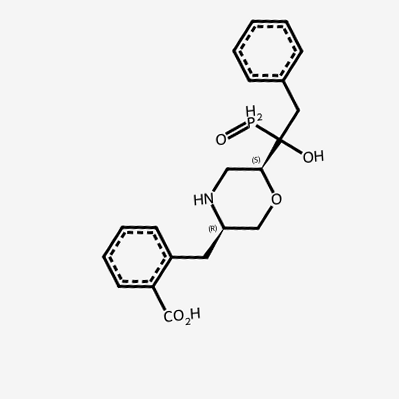 O=[PH2]C(O)(Cc1ccccc1)[C@@H]1CN[C@H](Cc2ccccc2C(=O)O)CO1